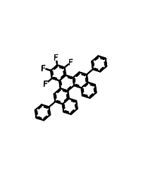 Fc1c(F)c(F)c2c3cc(-c4ccccc4)c4ccccc4c3c3c4ccccc4c(-c4ccccc4)cc3c2c1F